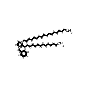 CCCCCCCCCCCCCCCCCC[n+]1ccn(Cc2ccccc2)c1CCCCCCCCCCCCCC